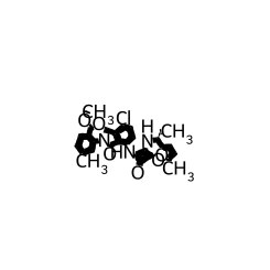 CC[C@@H](Nc1c(Nc2ccc(Cl)c3c2C(=O)N(c2cc(C)ccc2C(=O)OC)C3)c(=O)c1=O)c1ccc(C)o1